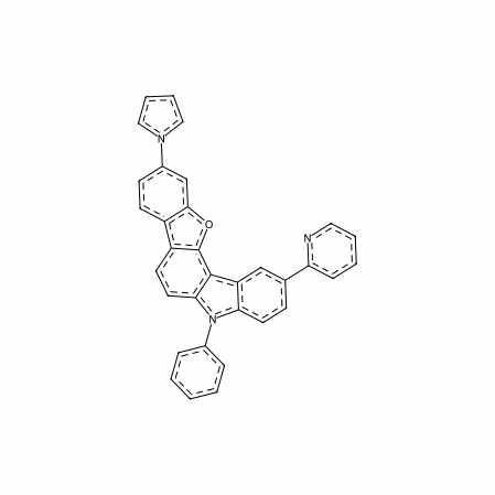 c1ccc(-n2c3ccc(-c4ccccn4)cc3c3c4oc5cc(-n6cccc6)ccc5c4ccc32)cc1